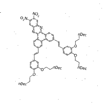 CCCCCCCCCCCCOc1ccc(C=Cc2ccc3c(c2)c2cc(C=Cc4ccc(OCCCCCCCCCCCC)c(OCCCCCCCCCCCC)c4)ccc2c2nc4cc([N+](=O)[O-])c([N+](=O)[O-])cc4nc32)cc1OCCCCCCCCCCCC